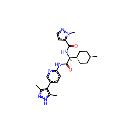 Cc1n[nH]c(C)c1-c1ccc(NC(=O)[C@@H](NC(=O)c2ccnn2C)[C@H]2CC[C@H](C)CC2)nc1